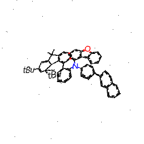 CC(C)(C)C1=CC(C)(C(C)(C)C)C2C(=C1)C(C)(C)c1cccc(-c3ccccc3N(c3ccc(-c4ccc5ccccc5c4)cc3)c3cccc4oc5ccccc5c34)c12